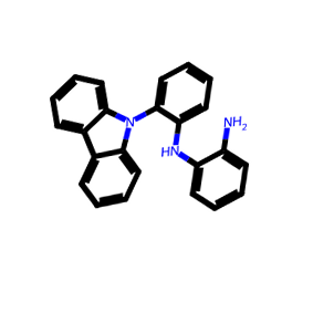 Nc1ccccc1Nc1ccccc1-n1c2ccccc2c2ccccc21